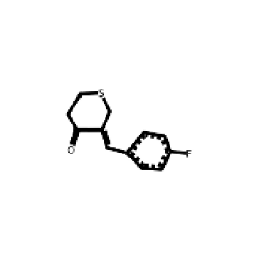 O=C1CCSC/C1=C\c1ccc(F)cc1